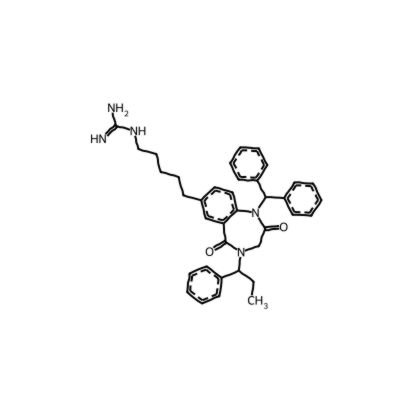 CCC(c1ccccc1)N1CC(=O)N(C(c2ccccc2)c2ccccc2)c2ccc(CCCCCNC(=N)N)cc2C1=O